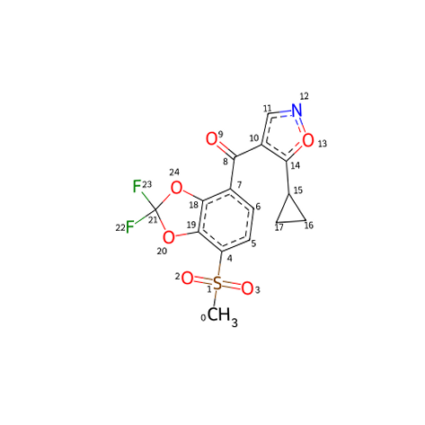 CS(=O)(=O)c1ccc(C(=O)c2cnoc2C2CC2)c2c1OC(F)(F)O2